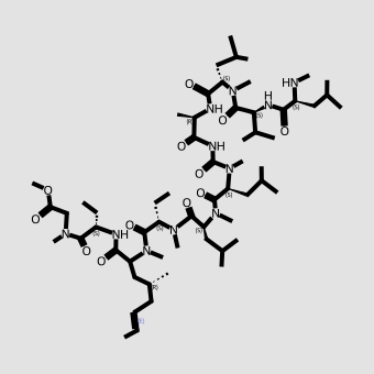 C/C=C/C[C@@H](C)CC(C(=O)N[C@@H](CC)C(=O)N(C)CC(=O)OC)N(C)C(=O)[C@H](CC)N(C)C(=O)[C@H](CC(C)C)N(C)C(=O)[C@H](CC(C)C)N(C)C(=O)NC(=O)[C@@H](C)NC(=O)[C@H](CC(C)C)N(C)C(=O)[C@@H](NC(=O)[C@H](CC(C)C)NC)C(C)C